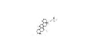 COC1CCC2(C)C(CC(OC(C)C)C3(C)C2CCC2C4C(C)C(C)CCC4(C(=O)OCOP(=O)(O)O)CCC23C)C1(C)C